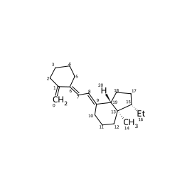 C=C1CCCCC1=CC=C1CCC[C@]2(C)[C@@H](CC)CC[C@@H]12